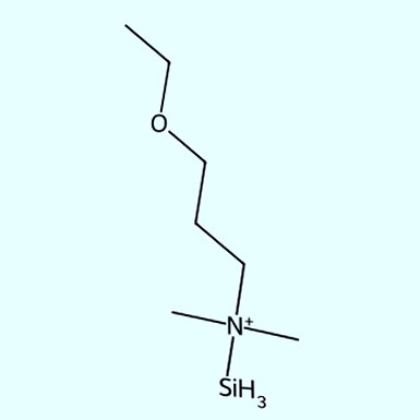 CCOCCC[N+](C)(C)[SiH3]